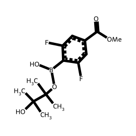 COC(=O)c1cc(F)c(B(O)OC(C)(C)C(C)(C)O)c(F)c1